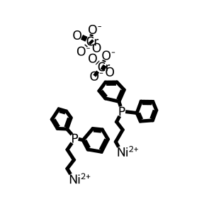 [Ni+2][CH2]CCP(c1ccccc1)c1ccccc1.[Ni+2][CH2]CCP(c1ccccc1)c1ccccc1.[O]=[Cr](=[O])([O-])[O-].[O]=[Cr](=[O])([O-])[O-]